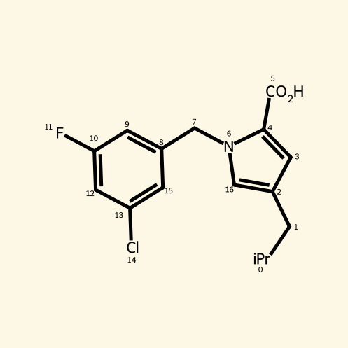 CC(C)Cc1cc(C(=O)O)n(Cc2cc(F)cc(Cl)c2)c1